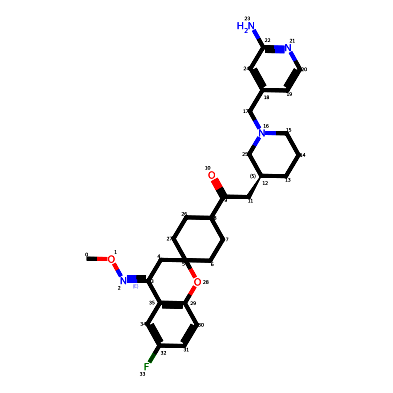 CO/N=C1\CC2(CCC(C(=O)C[C@@H]3CCCN(Cc4ccnc(N)c4)C3)CC2)Oc2ccc(F)cc21